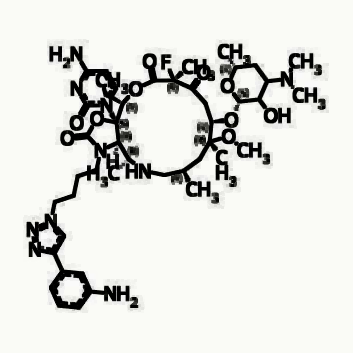 CC[C@H]1OC(=O)[C@](C)(F)C(=O)C[C@@H](O[C@@H]2O[C@H](C)CC(N(C)C)C2O)[C@](C)(OC)C[C@@H](C)CN[C@H](C)[C@H]2N(CCCCn3cc(-c4cccc(N)c4)nn3)C(=O)O[C@]12n1ccc(N)nc1=O